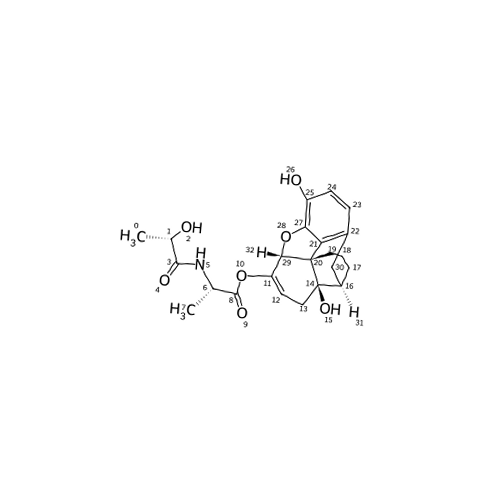 C[C@H](O)C(=O)N[C@@H](C)C(=O)OC1=CC[C@@]2(O)[C@@H]3CCC[C@@]24c2c(ccc(O)c2O[C@@H]14)C3